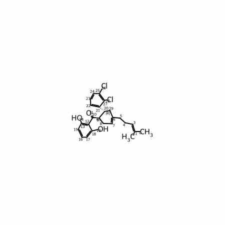 CC(C)=CCCC1=CC[C@@H](C(=O)c2c(O)cccc2O)[C@H](c2cccc(Cl)c2Cl)C1